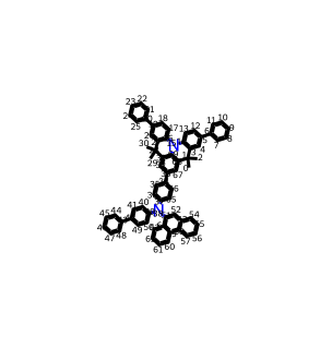 CC1(C)c2cc(-c3ccccc3)ccc2N2c3ccc(-c4ccccc4)cc3C(C)(C)c3cc(-c4ccc(N(c5ccc(-c6ccccc6)cc5)c5cc6ccccc6c6ccccc56)cc4)cc1c32